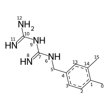 Cc1ccc(CNC(=N)NC(=N)N)cc1C